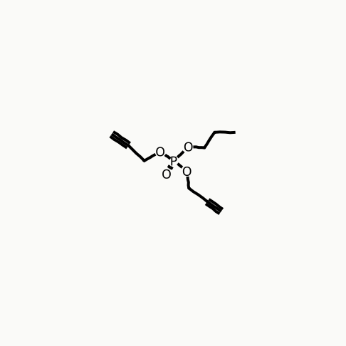 C#CCOP(=O)(OCC#C)OCCC